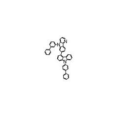 c1ccc(-c2ccc(-n3c4ccccc4c4c(-c5ccc6c7ncccc7n(-c7cccc(-c8ccccc8)c7)c6c5)cccc43)cc2)cc1